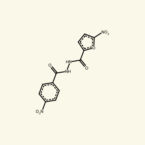 O=C(NNC(=O)c1ccc([N+](=O)[O-])o1)c1ccc([N+](=O)[O-])cc1